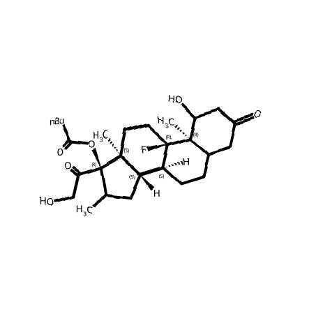 CCCCC(=O)O[C@]1(C(=O)CO)C(C)C[C@H]2[C@@H]3CCC4CC(=O)CC(O)[C@]4(C)[C@@]3(F)CC[C@@]21C